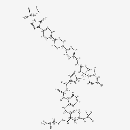 CC[C@@H]([C@H](C)O)n1ncn(-c2ccc(N3CCN(c4ccc(OC[C@@H]5CO[C@@](Cn6c[n+](C(C)OC(=O)N(C)c7ncccc7COC(=O)[C@H](CCCNC(N)=O)NC(=O)OC(C)(C)C)cn6)(c6ccc(F)cc6F)C5)cc4)CC3)cc2)c1=O